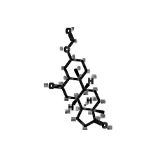 C[C@]12CCC(OC=O)CC1C(=O)C[C@@H]1[C@H]2CC[C@]2(C)C(=O)CC[C@@H]12